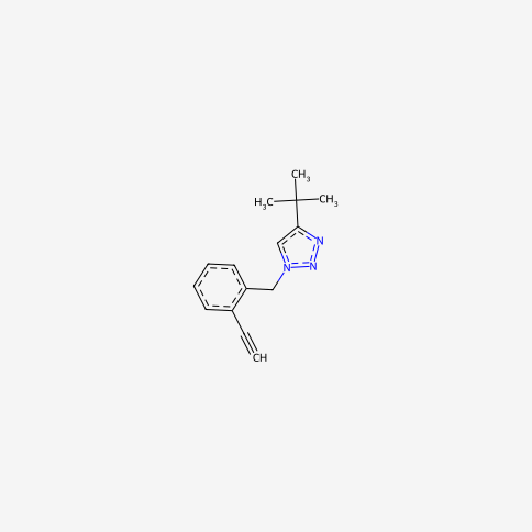 C#Cc1ccccc1Cn1cc(C(C)(C)C)nn1